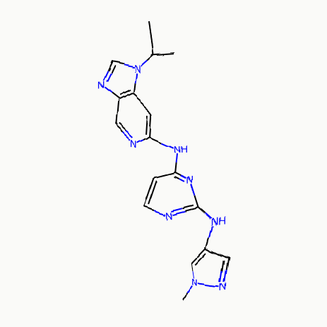 CC(C)n1cnc2cnc(Nc3ccnc(Nc4cnn(C)c4)n3)cc21